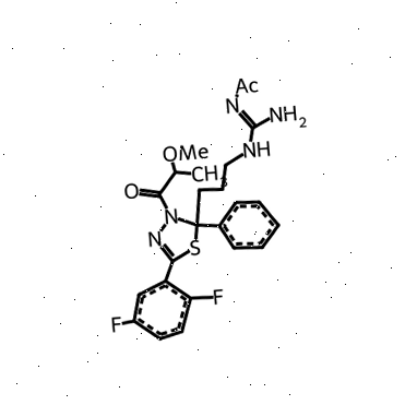 COC(C)C(=O)N1N=C(c2cc(F)ccc2F)SC1(CCCNC(N)=NC(C)=O)c1ccccc1